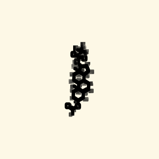 CC(=O)OC1CC[C@@]2(C)C(=CCC3C2CC[C@]2(C)C(OS(=O)(=O)C(F)(F)F)=CCC32)C1